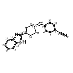 N#Cc1ccc(SN2CCC(c3nc4ccccc4[nH]3)CC2)cc1